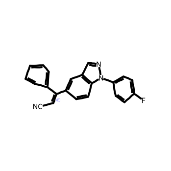 N#C/C=C(\c1ccccc1)c1ccc2c(cnn2-c2ccc(F)cc2)c1